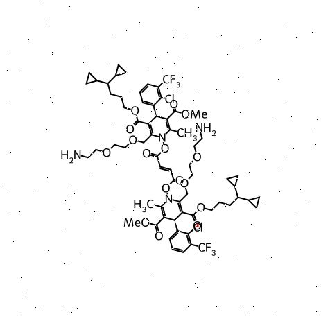 COC(=O)C1=C(C)N(OC(=O)/C=C/C(=O)ON2C(C)=C(C(=O)OC)[C@H](c3cccc(C(F)(F)F)c3Cl)C(C(=O)OCCCC(C3CC3)C3CC3)=C2COCCOCCN)C(COCCOCCN)=C(C(=O)OCCCC(C2CC2)C2CC2)[C@H]1c1cccc(C(F)(F)F)c1Cl